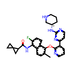 Cc1ccc2c(NC(=O)C3CC34CC4)c(F)ccc2c1Oc1ncccc1-c1ccnc(N[C@H]2CCCNC2)n1